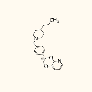 CCCC1CCN(Cc2ccc([C@H]3COc4cccnc4O3)cc2)CC1